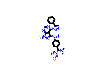 CC(Nc1ncnc2[nH]nc(Nc3ccc(C(NC=O)N(C)C)cc3)c12)c1ccccc1